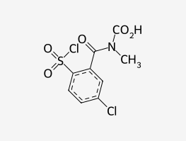 CN(C(=O)O)C(=O)c1cc(Cl)ccc1S(=O)(=O)Cl